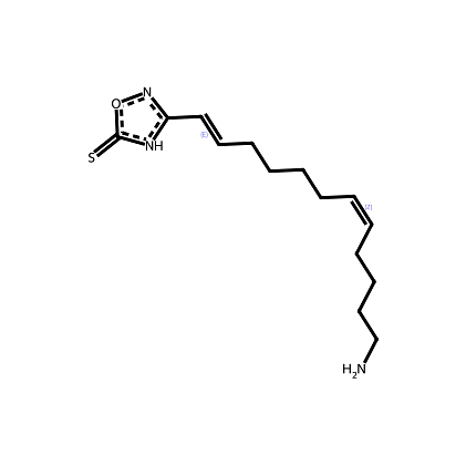 NCCCC/C=C\CCCC/C=C/c1noc(=S)[nH]1